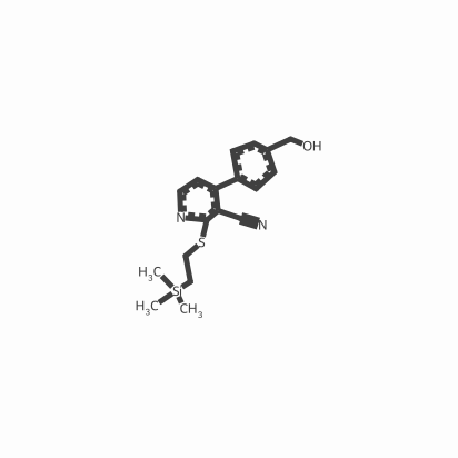 C[Si](C)(C)CCSc1nccc(-c2ccc(CO)cc2)c1C#N